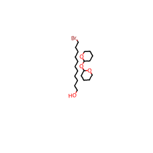 C1CCC(OC2CCCCO2)OC1.OCCCCCCCCCCCBr